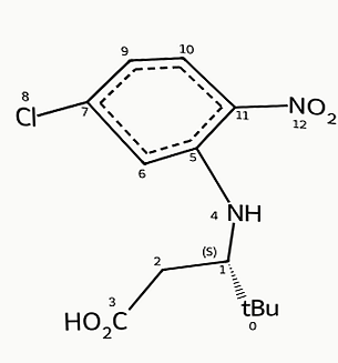 CC(C)(C)[C@H](CC(=O)O)Nc1cc(Cl)ccc1[N+](=O)[O-]